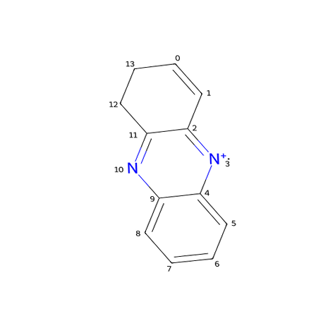 C1=CC2=[N+]c3ccccc3N=C2CC1